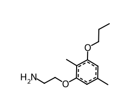 CCCOc1cc(C)cc(OCCN)c1C